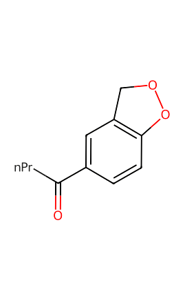 CCCC(=O)c1ccc2c(c1)COO2